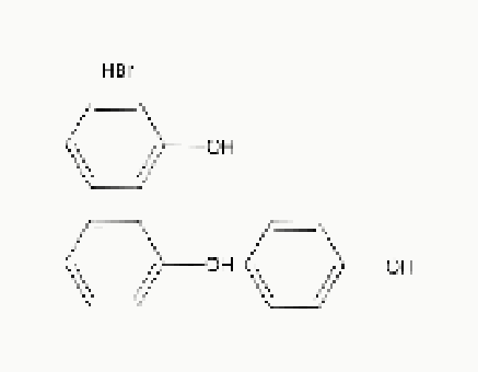 Br.Oc1ccccc1.Oc1ccccc1.Oc1ccccc1